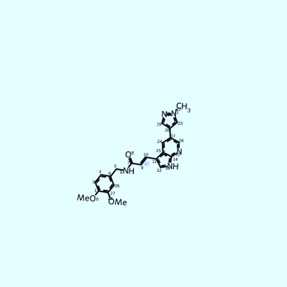 COc1ccc(CNC(=O)/C=C/c2c[nH]c3ncc(-c4cnn(C)c4)cc23)cc1OC